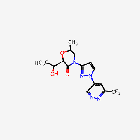 C[C@H]1CN(c2ccn(-c3cnnc(C(F)(F)F)c3)n2)C(=O)[C@@H](C(O)C(=O)O)O1